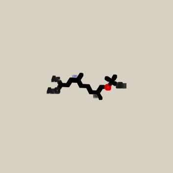 CC(=O)OC(C/C=C(/C)CCC[C@H](C)CO[Si](C)(C)C(C)(C)C)C(C)=O